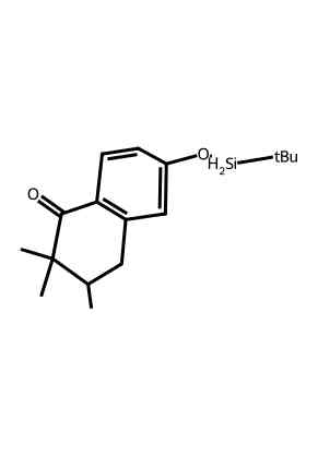 CC1Cc2cc(O[SiH2]C(C)(C)C)ccc2C(=O)C1(C)C